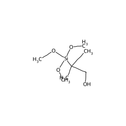 CO[Si](OC)(OC)C(C)(C)CO